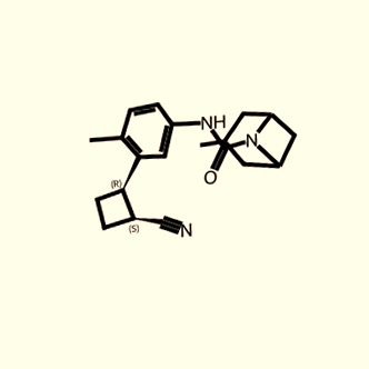 Cc1ccc(NC(=O)N2C3CC(C)CC2C3)cc1[C@@H]1CC[C@@H]1C#N